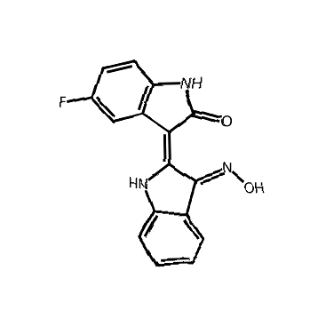 O=C1Nc2ccc(F)cc2C1=C1Nc2ccccc2C1=NO